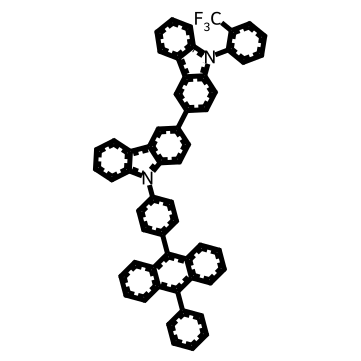 FC(F)(F)c1ccccc1-n1c2ccccc2c2cc(-c3ccc4c(c3)c3ccccc3n4-c3ccc(-c4c5ccccc5c(-c5ccccc5)c5ccccc45)cc3)ccc21